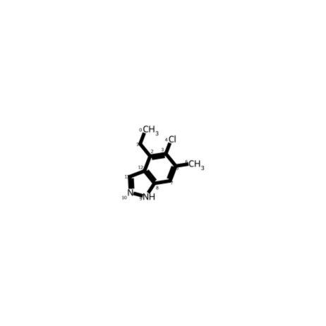 CCc1c(Cl)c(C)cc2[nH]ncc12